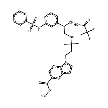 CCCCOC(=O)c1ccc2c(ccn2CCC(C)(C)NCC(O)c2cccc(NS(=O)(=O)c3ccccc3)c2)c1.O=C(O)C(F)(F)F